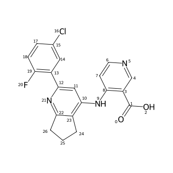 O=C(O)c1cnccc1Nc1cc(-c2cc(Cl)ccc2F)nc2c1CCC2